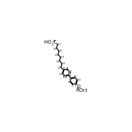 CCCCCCCCOc1ccc(-c2ncc(CCCCCCCCC(=O)O)cn2)cc1